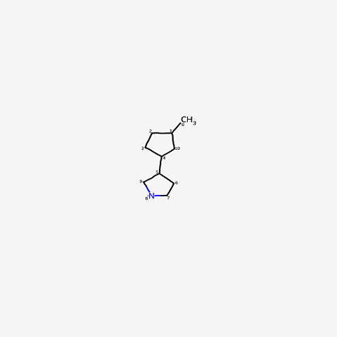 CC1CCC(C2CC[N]C2)C1